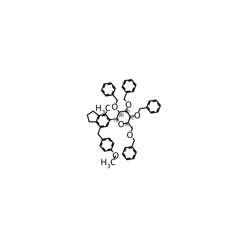 COc1ccc(Cc2cc([C@@H]3O[C@H](COCc4ccccc4)[C@H](OCc4ccccc4)[C@H](OCc4ccccc4)[C@@H]3OCc3ccccc3)c(C)c3c2CCC3)cc1